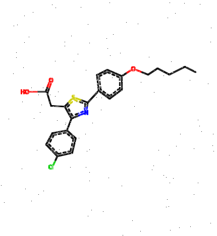 CCCCCOc1ccc(-c2nc(-c3ccc(Cl)cc3)c(CC(=O)O)s2)cc1